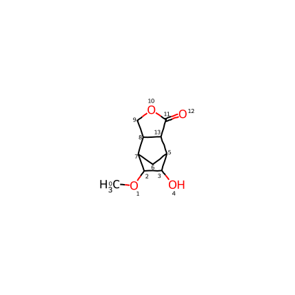 COC1C(O)C2CC1C1COC(=O)C21